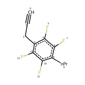 C#CCc1c(F)c(F)c(CCC)c(F)c1F